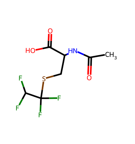 CC(=O)NC(CSC(F)(F)C(F)F)C(=O)O